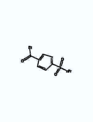 CCCS(=O)(=O)c1ccc(C(=O)CC)cc1